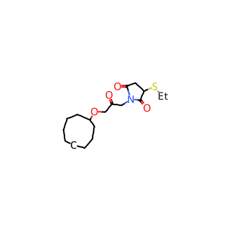 CCSC1CC(=O)N(CC(=O)COC2CCCCCCCC2)C1=O